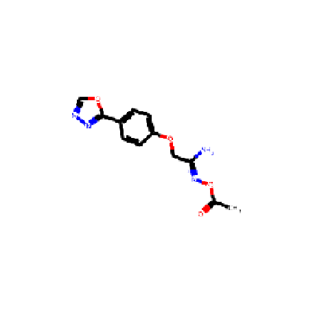 CC(=O)O/N=C(\N)COc1ccc(-c2nnco2)cc1